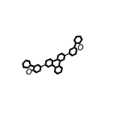 c1ccc2c(c1)oc1ccc(-c3ccc4c5ccc(-c6ccc7oc8ccccc8c7c6)cc5c5ccccc5c4c3)cc12